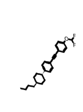 CCCC[C@H]1CC[C@H](c2ccc(C#Cc3ccc(OC(F)F)cc3)cc2)CC1